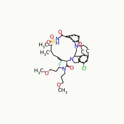 COCCCN(CCCOC)C(=O)[C@H]1/C(F)=C/C[C@H](C)[C@@H](C)S(=O)(=O)NC(=O)c2ccc3c(c2)N2CCCCc4cc(Cl)cc(c4CO3)[C@]3(CCCN13)C2